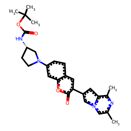 Cc1cn2cc(-c3cc4ccc(N5CC[C@H](NC(=O)OC(C)(C)C)C5)cc4oc3=O)cc2c(C)n1